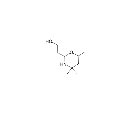 CC1CC(C)(C)NC(CCO)O1